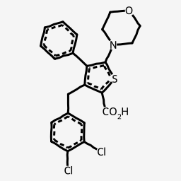 O=C(O)c1sc(N2CCOCC2)c(-c2ccccc2)c1Cc1ccc(Cl)c(Cl)c1